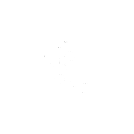 NC(=O)c1cccc2c1c1[c]c(F)ccc1n2Cc1ccccc1OCc1ccccc1